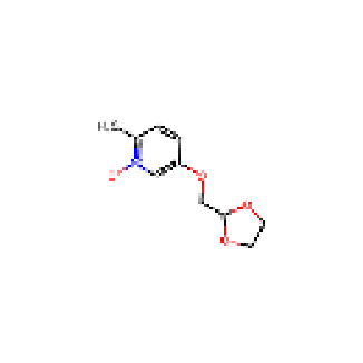 Cc1ccc(OCC2OCCO2)c[n+]1[O-]